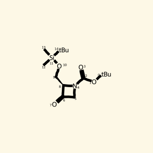 CC(C)(C)OC(=O)N1CC(=O)[C@H]1CO[Si](C)(C)C(C)(C)C